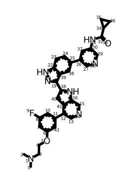 CN(C)CCOc1cc(F)cc(-c2cncc3[nH]c(-c4n[nH]c5ccc(-c6cncc(NC(=O)C7CC7)c6)cc45)cc23)c1